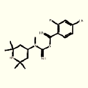 CN(C(=N)SC(=N)c1ccc(C#N)cc1F)C1CC(C)(C)NC(C)(C)C1